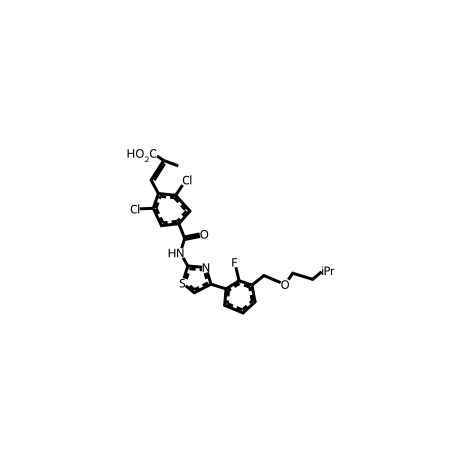 C/C(=C\c1c(Cl)cc(C(=O)Nc2nc(-c3cccc(COCCC(C)C)c3F)cs2)cc1Cl)C(=O)O